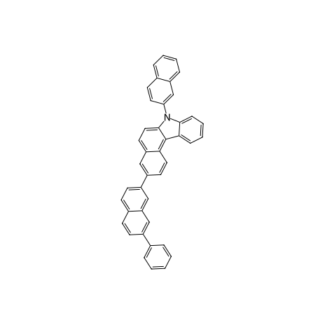 c1ccc(-c2ccc3ccc(-c4ccc5c(ccc6c5c5ccccc5n6-c5ccc6ccccc6c5)c4)cc3c2)cc1